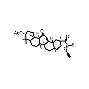 C#CON(CC)C(=O)[C@@]1(C)CC[C@]2(C)CC[C@]3(C)C(=CC(=O)[C@@H]4[C@@]5(C)CC[C@H](OC(C)=O)C(C)(C)C5CC[C@]43C)[C@@H]2C1